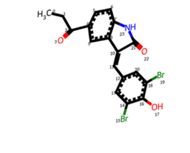 CCC(=O)c1ccc2c(c1)C(=Cc1cc(Br)c(O)c(Br)c1)C(=O)N2